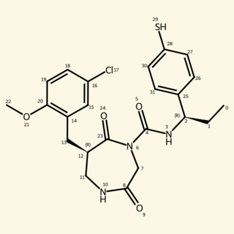 CC[C@@H](NC(=O)N1CC(=O)NC[C@@H](Cc2cc(Cl)ccc2OC)C1=O)c1ccc(S)cc1